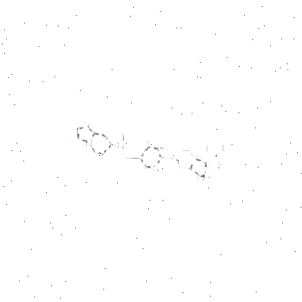 FC(F)(F)c1nnc2n1CCN(c1ccc(CNc3ccn4ccnc4c3)cn1)C2